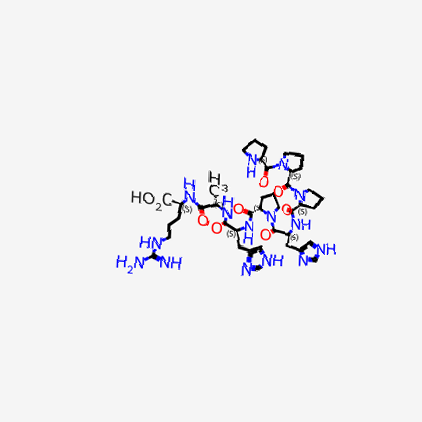 C[C@H](NC(=O)[C@H](Cc1c[nH]cn1)NC(=O)[C@@H]1CCCN1C(=O)[C@H](Cc1c[nH]cn1)NC(=O)[C@@H]1CCCN1C(=O)[C@@H]1CCCN1C(=O)[C@@H]1CCCN1)C(=O)N[C@@H](CCCNC(=N)N)C(=O)O